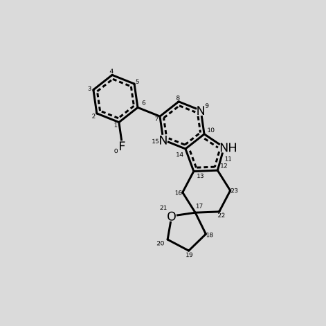 Fc1ccccc1-c1cnc2[nH]c3c(c2n1)CC1(CCCO1)CC3